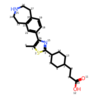 Cc1sc(C2CCC(CCC(=O)O)CC2)nc1-c1ccc2c(c1)CCNCC2